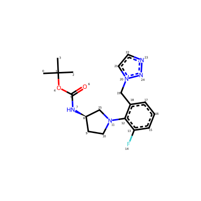 CC(C)(C)OC(=O)N[C@@H]1CCN(c2c(F)cccc2[CH]n2ccnn2)C1